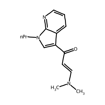 CCCn1cc(C(=O)/C=C/N(C)C)c2cccnc21